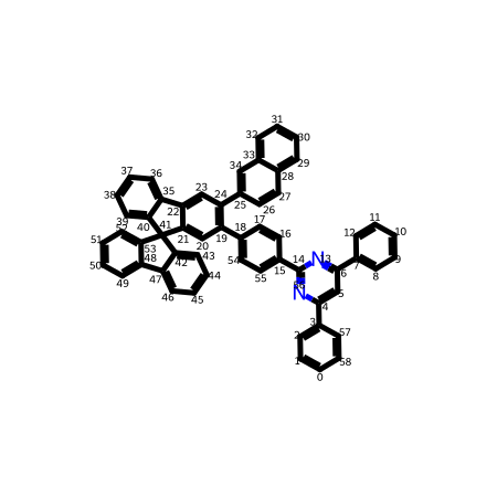 c1ccc(-c2cc(-c3ccccc3)nc(-c3ccc(-c4cc5c(cc4-c4ccc6ccccc6c4)-c4ccccc4C54c5ccccc5-c5ccccc54)cc3)n2)cc1